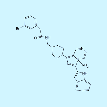 N[N+]12C=CN=CC1=C(C1CCC(CNC(=O)Cc3cccc(Br)c3)CC1)N=C2c1cc2ccccc2[nH]1